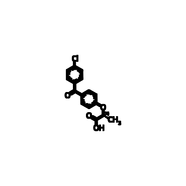 C[C@@H](Oc1ccc(C(=O)c2ccc(Cl)cc2)cc1)C(=O)O